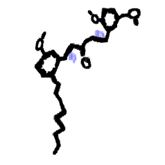 CCCCCCCCc1ccc(OC)cc1/C=C/C(=O)/C=C/c1cc(OC)ccc1OC